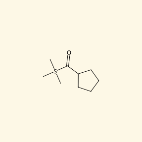 CS(C)(C)C(=O)C1CCCC1